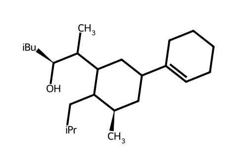 CCC(C)[C@H](O)C(C)C1CC(C2=CCCCC2)C[C@@H](C)C1CC(C)C